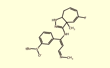 C/N=C\C=C(\NC1=NNC2CC=CC(F)=CC12C)c1cccc([S+]([O-])C(C)(C)C)c1